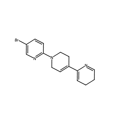 Brc1ccc(N2CC=C(C3=CCCC=N3)CC2)nc1